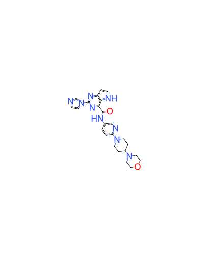 O=C(Nc1ccc(N2CCC(N3CCOCC3)CC2)nc1)c1nc(-n2ccnc2)nc2cc[nH]c12